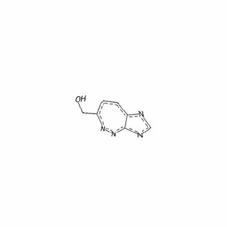 OCc1ccc2ncnc-2nn1